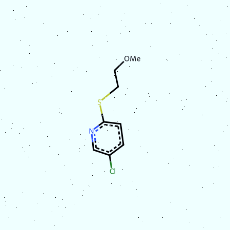 COCCSc1ccc(Cl)cn1